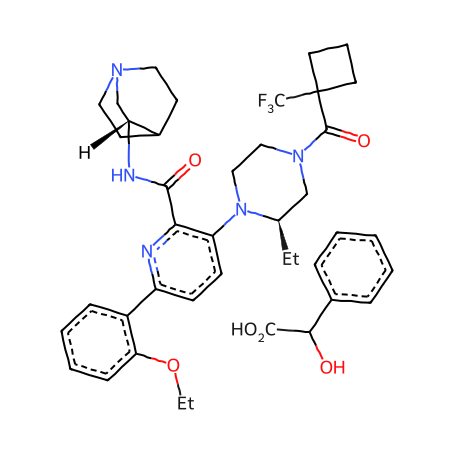 CCOc1ccccc1-c1ccc(N2CCN(C(=O)C3(C(F)(F)F)CCC3)C[C@H]2CC)c(C(=O)N[C@@H]2CN3CCC2CC3)n1.O=C(O)C(O)c1ccccc1